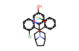 Oc1ccc(C2CC3CCC(C2)N3C(c2ccccc2Cl)c2ccccc2Cl)nc1